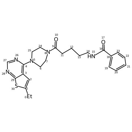 CCc1cc2c(N3CCN(C(=O)CCCCNC(=O)c4ccccc4)CC3)ncnc2s1